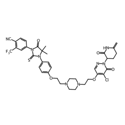 C=C1CCC(n2ncc(OCCN3CCN(CCOc4ccc(N5C(=S)N(c6ccc(C#N)c(C(F)(F)F)c6)C(=O)C5(C)C)cc4)CC3)c(Cl)c2=O)C(=O)N1